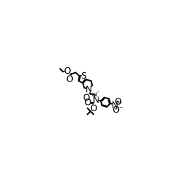 CCOC(=O)Cc1cc2c(s1)CCN(C(=O)[C@H](C)N(C(=O)OC(C)(C)C)c1ccc([N+](=O)[O-])cc1)C2